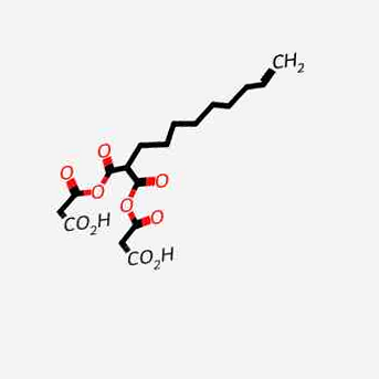 C=CCCCCCCCC(C(=O)OC(=O)CC(=O)O)C(=O)OC(=O)CC(=O)O